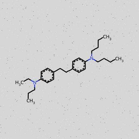 CCCCN(CCCC)c1ccc(CCc2ccc(N(CC)CCC)cc2)cc1